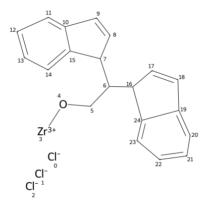 [Cl-].[Cl-].[Cl-].[Zr+3][O]CC(C1C=Cc2ccccc21)C1C=Cc2ccccc21